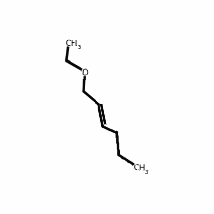 CCC/C=C/COCC